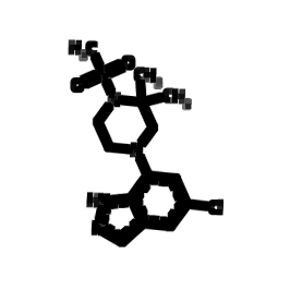 CC1(C)CN(c2cc(Cl)cc3cn[nH]c23)CCN1S(C)(=O)=O